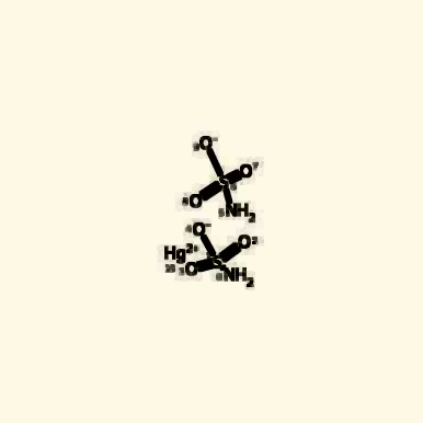 NS(=O)(=O)[O-].NS(=O)(=O)[O-].[Hg+2]